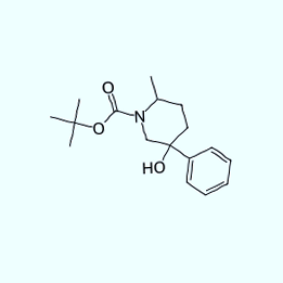 CC1CCC(O)(c2ccccc2)CN1C(=O)OC(C)(C)C